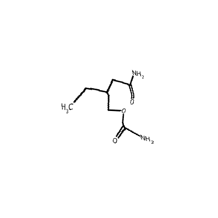 CCC(COC(N)=O)CC(N)=O